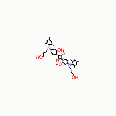 Cc1cc(C)c(N(CCCCO)c2ccc(C3=C([O-])/C(=C4C=C/C(=[N+](/CCCCO)c5c(C)cc(C)cc5C)C=C/4O)C3=O)c(O)c2)c(C)c1